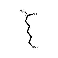 CNCCCCC[C@@H](C)O